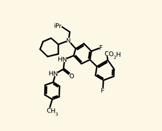 Cc1ccc(NC(=O)Nc2cc(-c3cc(F)ccc3C(=O)O)c(F)cc2N(CC(C)C)C2CCCCC2)cc1